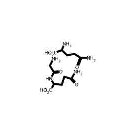 NC(=O)CCC(N)C(=O)O.NCC(=O)NC(CCC(N)=O)C(=O)O